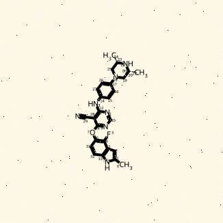 Cc1cc2c(F)c(Oc3ncnc(Nc4ccc(N5C[C@@H](C)N[C@@H](C)C5)cc4)c3C#N)ccc2[nH]1